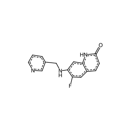 O=c1ccc2cc(F)c(NCc3cccnc3)cc2[nH]1